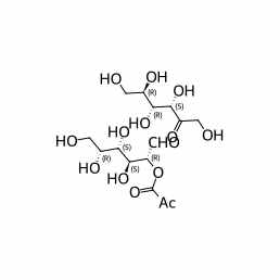 CC(=O)C(=O)O[C@@H](C=O)[C@@H](O)[C@@H](O)[C@H](O)CO.O=C(CO)[C@@H](O)[C@H](O)[C@H](O)CO